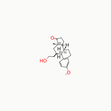 COc1ccc2c(c1)CC[C@@H]1[C@@H]2[C@@H](CCO)C[C@]2(C)C(=O)CC[C@@H]12